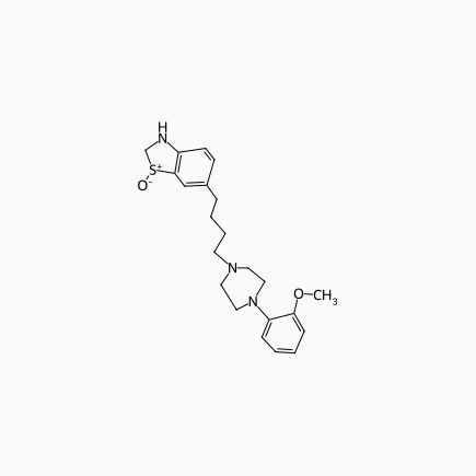 COc1ccccc1N1CCN(CCCCc2ccc3c(c2)[S+]([O-])CN3)CC1